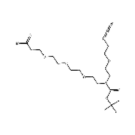 CC(C)(C)OC(=O)N(CCOCCN=[N+]=[N-])CCOCCOCCOCCC(=O)O